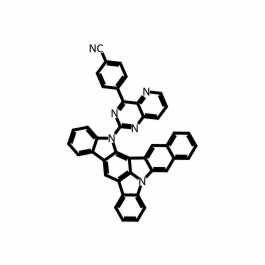 N#Cc1ccc(-c2nc(-n3c4ccccc4c4cc5c6ccccc6n6c7cc8ccccc8cc7c(c43)c56)nc3cccnc23)cc1